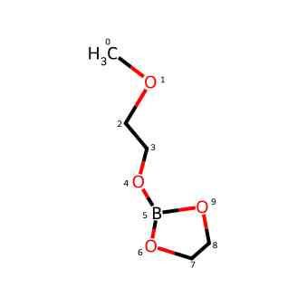 COCCOB1OCCO1